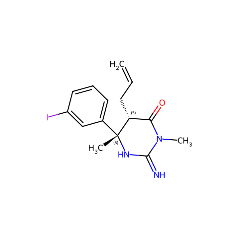 C=CC[C@@H]1C(=O)N(C)C(=N)N[C@]1(C)c1cccc(I)c1